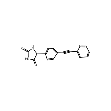 O=C1NC(=O)C(c2ccc(C#Cc3ccccn3)cc2)N1